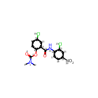 CN(C)C(=O)Oc1ccc(Cl)cc1C(=O)Nc1ccc([N+](=O)[O-])cc1Cl